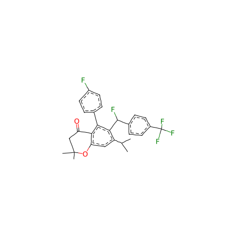 CC(C)c1cc2c(c(-c3ccc(F)cc3)c1C(F)c1ccc(C(F)(F)F)cc1)C(=O)CC(C)(C)O2